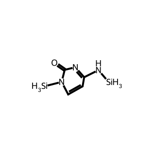 O=c1nc(N[SiH3])ccn1[SiH3]